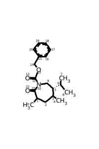 CC1CC(C)[C@@H](C(C)C)CN(C(=O)OCc2ccccc2)C1=O